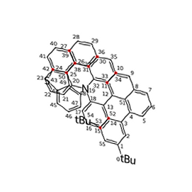 CC(C)(C)c1cc(-c2cccc3cccc(-c4ccccc4N(c4ccccc4-c4ccccc4)c4ccccc4-c4cccc5sc6ccccc6c45)c23)cc(C(C)(C)C)c1